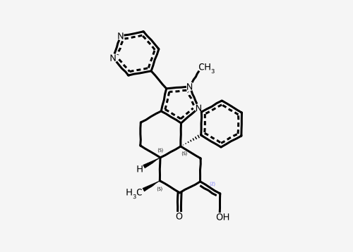 C[C@@H]1C(=O)/C(=C\O)C[C@]2(c3ccccc3)c3nn(C)c(-c4ccnnc4)c3CC[C@@H]12